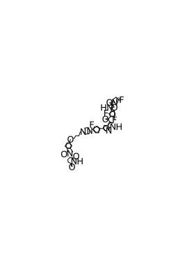 O=C1CCC(N2Cc3cc(OCCCCN4CCN(c5ccc(-c6cnc7[nH]cc(C(=O)c8c(F)ccc(NS(=O)(=O)N9CC[C@@H](F)C9)c8F)c7c6)cc5F)CC4)ccc3C2=O)C(=O)N1